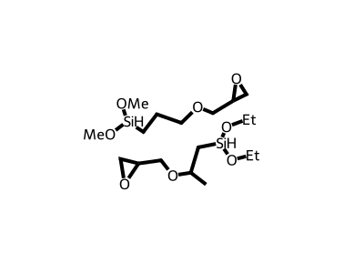 CCO[SiH](CC(C)OCC1CO1)OCC.CO[SiH](CCCOCC1CO1)OC